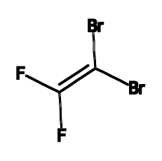 FC(F)=C(Br)Br